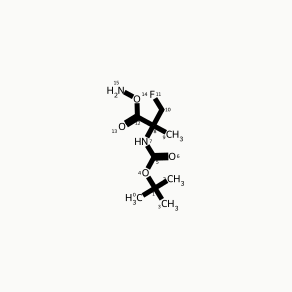 CC(C)(C)OC(=O)NC(C)(CF)C(=O)ON